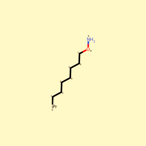 CC(C)CCCCCCCON